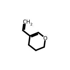 C=CC1=COCCC1